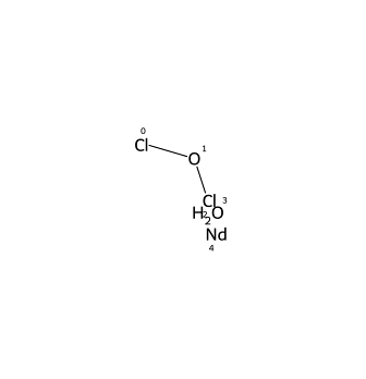 ClOCl.O.[Nd]